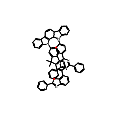 CC1(C)c2cc(-c3cccc4nc(-c5ccccc5)oc34)ccc2-c2ccc(-n3c4c(c5ccccc53)C=CC3c5ccccc5N(c5ccc(-c6nc(-c7ccccc7)nc(-c7ccccc7)n6)cc5)C43)cc21